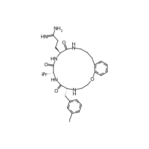 CC(C)[C@H]1NC(=O)[C@@H](Cc2cccc(I)c2)NCCOc2ccccc2CCCNC(=O)[C@H](CCC(=N)N)NC1=O